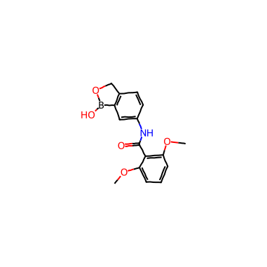 COc1cccc(OC)c1C(=O)Nc1ccc2c(c1)B(O)OC2